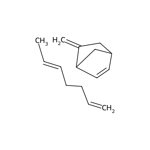 C=C1CC2C=CC1C2.C=CCCC=CC